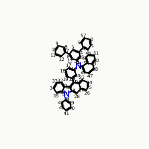 c1ccc(-c2cc(-c3ccccc3)cc(N(c3cccc(-c4c5ccccc5cc5c4c4ccccc4n5-c4ccccc4)c3)c3cccc4ccccc34)c2)cc1